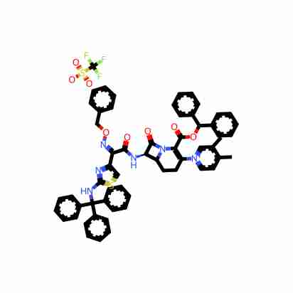 Cc1cc[n+](C2=C(C(=O)OC(c3ccccc3)c3ccccc3)N3C(=O)[C@H](NC(=O)/C(=N\OCc4ccccc4)c4csc(NC(c5ccccc5)(c5ccccc5)c5ccccc5)n4)C3CC2)cc1C.O=S(=O)([O-])C(F)(F)F